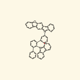 c1ccc(-c2cccc(-c3cccc(-n4c5ccccc5c5cc6oc7ccccc7c6cc54)c3)c2-n2c3ccccc3c3ccccc32)cc1